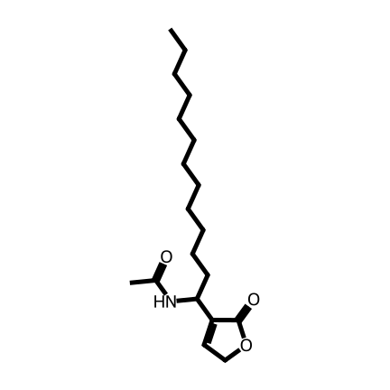 CCCCCCCCCCCCC(NC(C)=O)C1=CCOC1=O